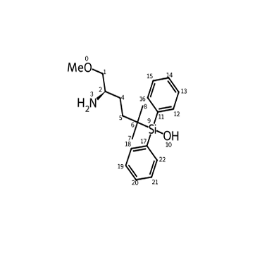 COC[C@H](N)CCC(C)(C)[Si](O)(c1ccccc1)c1ccccc1